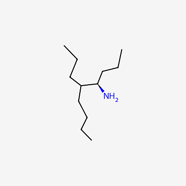 CCCCC(CCC)[C@H](N)CCC